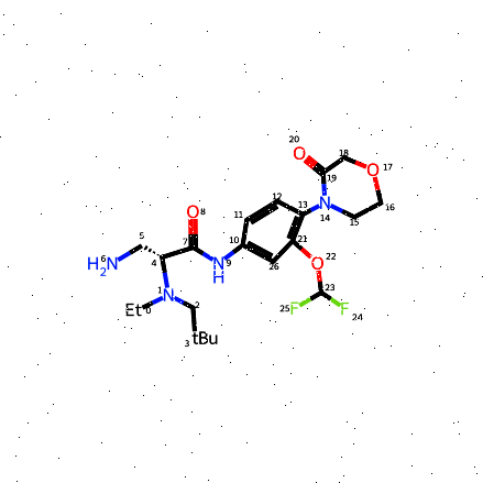 CCN(CC(C)(C)C)[C@H](CN)C(=O)Nc1ccc(N2CCOCC2=O)c(OC(F)F)c1